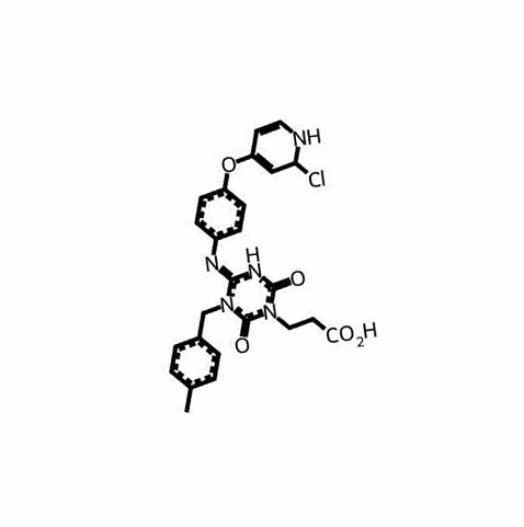 Cc1ccc(Cn2c(=O)n(CCC(=O)O)c(=O)[nH]/c2=N\c2ccc(OC3=CC(Cl)NC=C3)cc2)cc1